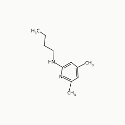 CCCCNc1cc(C)cc(C)n1